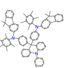 Cc1c(C)c(C)c(N(c2ccc(C3(c4ccc(N(c5ccc6c(c5)C(C)(C)c5ccccc5-6)c5c(C)c(C)c(C)c(C)c5C)cc4)c4ccccc4N(c4ccccc4)c4ccccc43)cc2)c2ccc3c(c2)C(C)(C)c2ccccc2-3)c(C)c1C